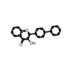 O=c1c(O)c(-c2ccc(-c3ccccc3)cc2)oc2ccccc12